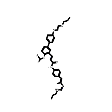 CCCN/C=N\C(C)=C\c1ccc(NC(=O)/C=C/c2cc(-c3ccc(OCCOCCC)cc3)ccc2OC(F)F)cc1